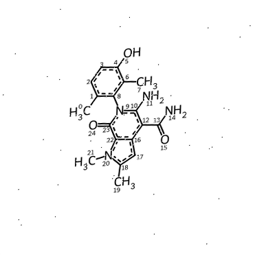 Cc1ccc(O)c(C)c1-n1c(N)c(C(N)=O)c2cc(C)n(C)c2c1=O